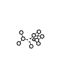 c1ccc(-c2cc(-c3ccccc3)cc(-c3nc(-c4ccccc4)nc(-c4ccc5c(c4)C4(c6ccccc6-5)c5ccccc5-c5c4c4ccccc4c4ccccc54)n3)c2)cc1